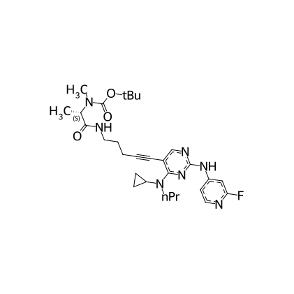 CCCN(c1nc(Nc2ccnc(F)c2)ncc1C#CCCCNC(=O)[C@H](C)N(C)C(=O)OC(C)(C)C)C1CC1